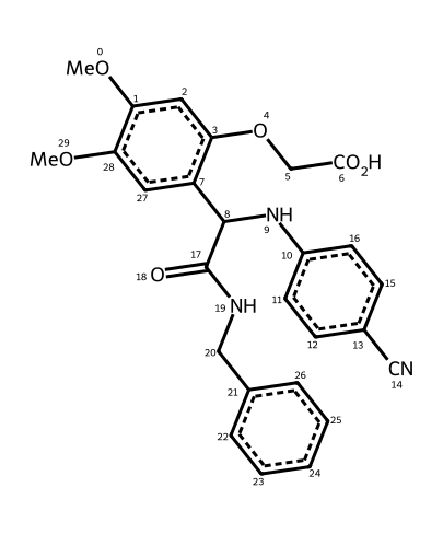 COc1cc(OCC(=O)O)c(C(Nc2ccc(C#N)cc2)C(=O)NCc2ccccc2)cc1OC